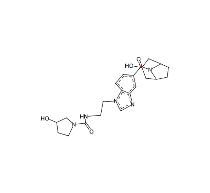 O=C(NCCn1cnc2cc(C(=O)N3C4CCC3CC(O)C4)ccc21)N1CCC(O)C1